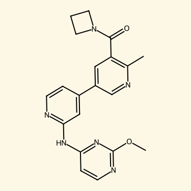 COc1nccc(Nc2cc(-c3cnc(C)c(C(=O)N4CCC4)c3)ccn2)n1